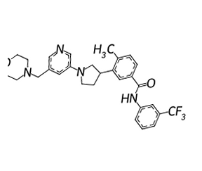 Cc1ccc(C(=O)Nc2cccc(C(F)(F)F)c2)cc1C1CCN(c2cncc(CN3CCOCC3)c2)C1